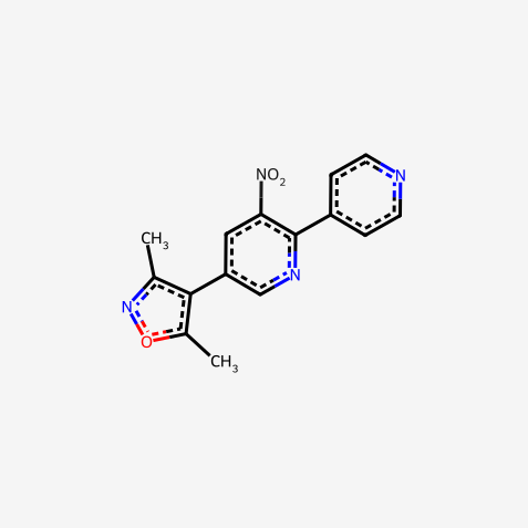 Cc1noc(C)c1-c1cnc(-c2ccncc2)c([N+](=O)[O-])c1